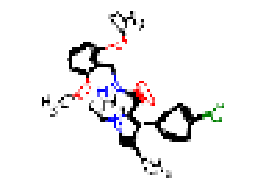 CCn1cc(C)c(-c2ccc(Cl)cc2)c1C(=O)NCc1c(OC)cccc1OC